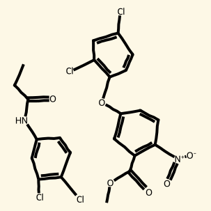 CCC(=O)Nc1ccc(Cl)c(Cl)c1.COC(=O)c1cc(Oc2ccc(Cl)cc2Cl)ccc1[N+](=O)[O-]